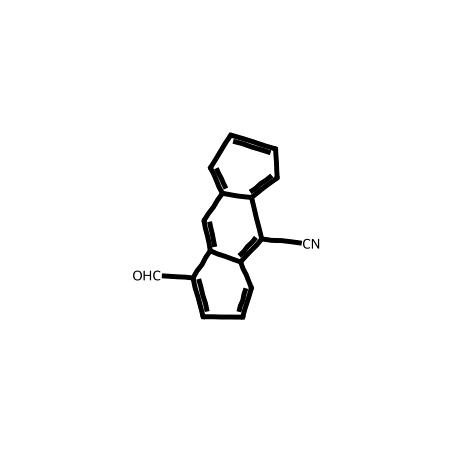 N#Cc1c2ccccc2cc2c(C=O)cccc12